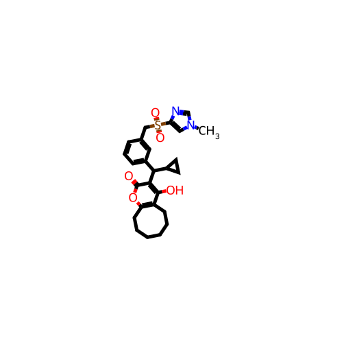 Cn1cnc(S(=O)(=O)Cc2cccc(C(c3c(O)c4c(oc3=O)CCCCCC4)C3CC3)c2)c1